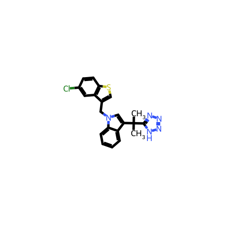 CC(C)(c1nnn[nH]1)c1cn(Cc2csc3ccc(Cl)cc23)c2ccccc12